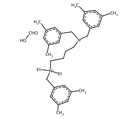 CC[N+](CC)(CCCCN(Cc1cc(C)cc(C)c1)Cc1cc(C)cc(C)c1)Cc1cc(C)cc(C)c1.O=CO